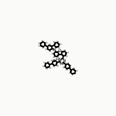 c1ccc(-c2ccc(C3=NC(c4cccc5oc6c(-n7c8ccccc8c8cc(-c9ccccc9)ccc87)cccc6c45)NC(c4ccc(-c5ccccc5)cc4)=N3)cc2)cc1